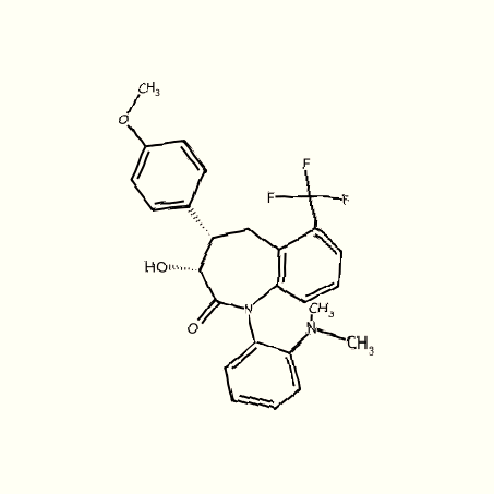 COc1ccc([C@@H]2Cc3c(cccc3C(F)(F)F)N(c3ccccc3N(C)C)C(=O)[C@@H]2O)cc1